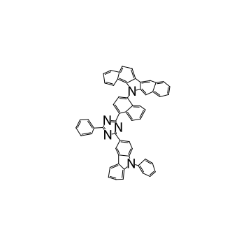 c1ccc(-c2nc(-c3ccc4c(c3)c3ccccc3n4-c3ccccc3)nc(-c3ccc(-n4c5cc6ccccc6cc5c5ccc6ccccc6c54)c4ccccc34)n2)cc1